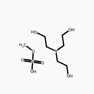 COS(=O)(=O)O.OCCN(CCO)CCO